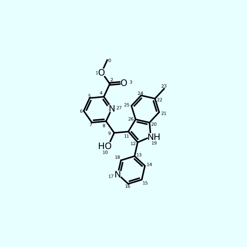 COC(=O)c1cccc(C(O)c2c(-c3cccnc3)[nH]c3cc(C)ccc23)n1